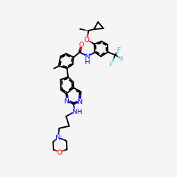 Cc1ccc(C(=O)Nc2cc(C(F)(F)F)ccc2O[C@@H](C)C2CC2)cc1-c1ccc2nc(NCCCN3CCOCC3)ncc2c1